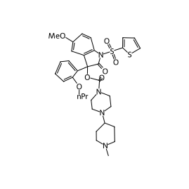 CCCOc1ccccc1C1(OC(=O)N2CCN(C3CCN(C)CC3)CC2)C(=O)N(S(=O)(=O)c2cccs2)c2ccc(OC)cc21